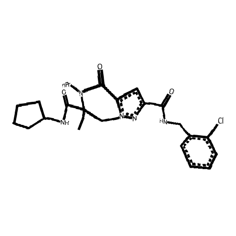 CCCN1C(=O)c2cc(C(=O)NCc3ccccc3Cl)nn2CC1(C)C(=O)NC1CCCC1